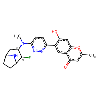 Cc1cc(=O)c2cc(-c3ccc(N(C)[C@@H]4CC5CCC(N5)[C@@H]4F)nn3)c(O)cc2o1